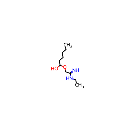 CCCCCC(O)OCC(=N)NCC